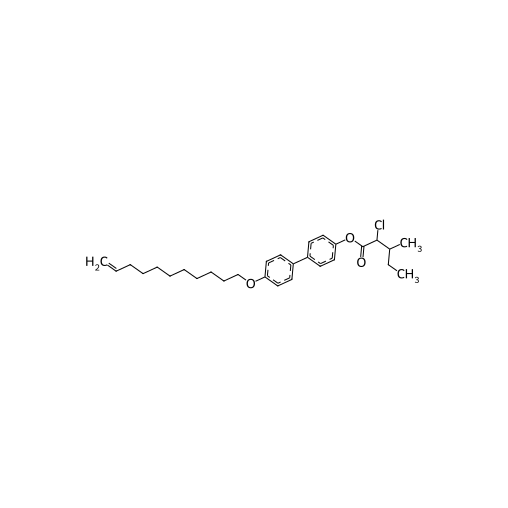 C=CCCCCCCCCCOc1ccc(-c2ccc(OC(=O)C(Cl)C(C)CC)cc2)cc1